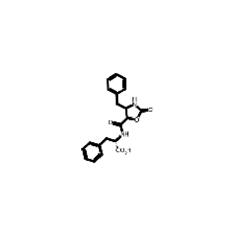 O=C1NC(Cc2ccccc2)C(C(=O)N[C@@H](Cc2ccccc2)C(=O)O)O1